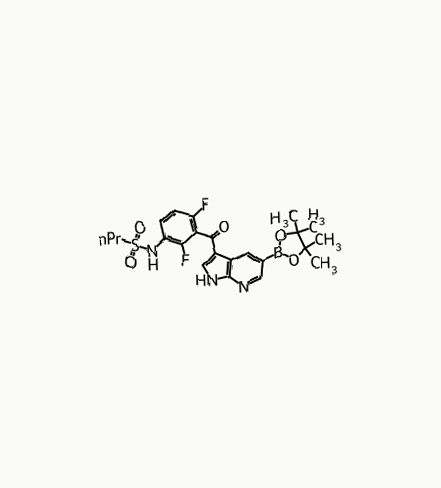 CCCS(=O)(=O)Nc1ccc(F)c(C(=O)c2c[nH]c3ncc(B4OC(C)(C)C(C)(C)O4)cc23)c1F